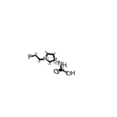 O=C(O)N[C@H]1CCN(CCF)C1